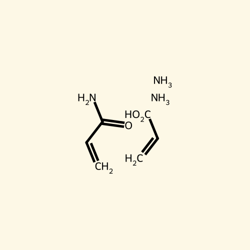 C=CC(=O)O.C=CC(N)=O.N.N